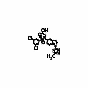 Cc1nnc(-n2ccc3cc(N(CC(=O)O)S(=O)(=O)c4cc(Cl)cc(Cl)c4)ccc32)s1